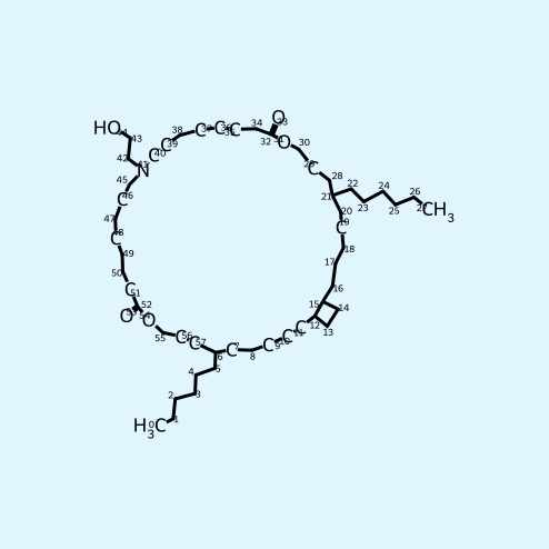 CCCCCCC1CCCCCC2CCC2CCCCCC(CCCCCC)CCCOC(=O)CCCCCCCN(CCO)CCCCCCCC(=O)OCCC1